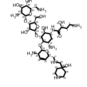 NCC[C@H](O)C(=O)N[C@@H]1C[C@H](N)[C@@H](O[C@H]2O[C@H](CNCC3(O)CCNCC3)C=C[C@H]2N)[C@H](O[C@@H]2O[C@H](CO)[C@@H](O[C@H]3O[C@@H](CN)[C@@H](O)[C@H](O)[C@H]3N)[C@H]2O)[C@H]1O